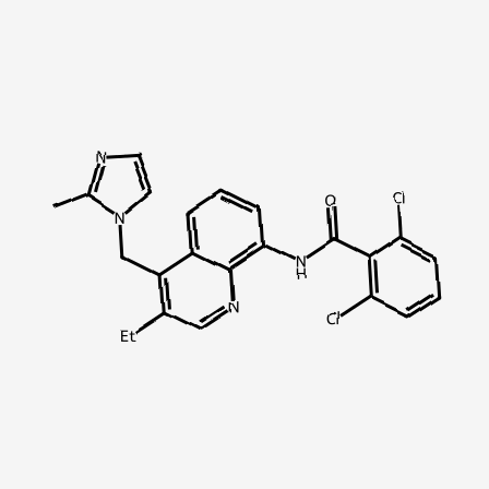 CCc1cnc2c(NC(=O)c3c(Cl)cccc3Cl)cccc2c1Cn1ccnc1C